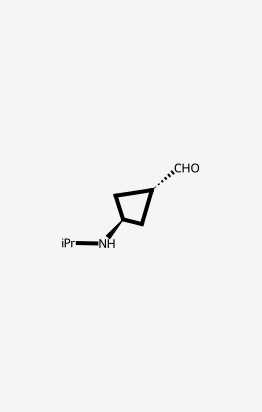 CC(C)N[C@H]1C[C@H](C=O)C1